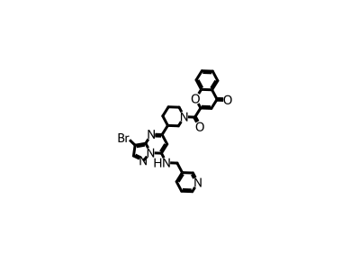 O=C(c1cc(=O)c2ccccc2o1)N1CCCC(c2cc(NCc3cccnc3)n3ncc(Br)c3n2)C1